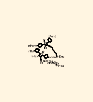 CCC#CC1=C(c2ccc(CCCCC)cc2)[N+](=[N-])C(c2cccc(CCCC)c2)=C1CCCCCC.CCCCCCCCCCCCCCCCC#CC1=C(c2cccc(CCCCC)c2)[N+](=[N-])C(c2ccc(CCCCC)cc2)=C1CC.CCCCCCCCC[CH2][Ni][CH2]CCCCCCCCC.CCCCC[CH2][Ni][CH2]CCCCC